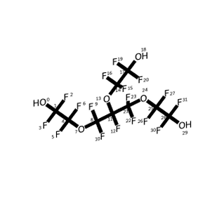 OC(F)(F)C(F)(F)OC(F)(F)C(F)(OC(F)(F)C(O)(F)F)C(F)(F)OC(F)(F)C(O)(F)F